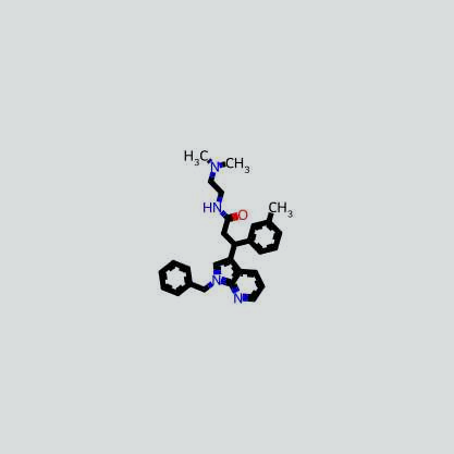 Cc1cccc(C(CC(=O)NCCN(C)C)c2cn(Cc3ccccc3)c3ncccc23)c1